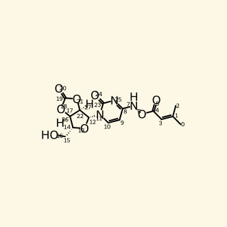 CC(C)=CC(=O)ONc1ccn([C@@H]2O[C@H](CO)[C@H]3OC(=O)O[C@H]32)c(=O)n1